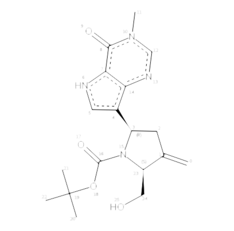 C=C1C[C@H](c2c[nH]c3c(=O)n(C)cnc23)N(C(=O)OC(C)(C)C)[C@@H]1CO